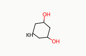 OC1CCCC(O)C1.[KH]